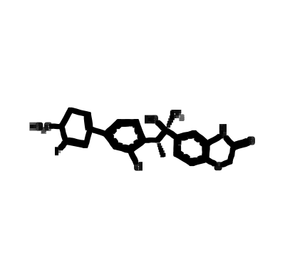 C[C@H](c1ccc(C2=CCC(C(=O)O)C(F)=C2)cc1Cl)[C@@](O)(c1ccc2c(c1)NC(=O)CO2)C(F)(F)F